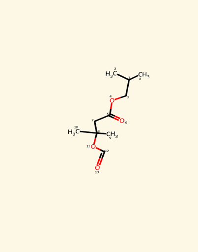 CC(C)COC(=O)CC(C)(C)O[C]=O